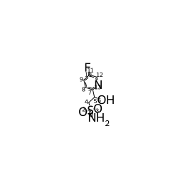 NS(=O)(=O)CC(O)c1ccc(F)cn1